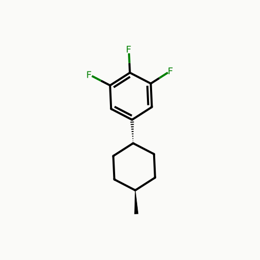 C[C@H]1CC[C@H](c2cc(F)c(F)c(F)c2)CC1